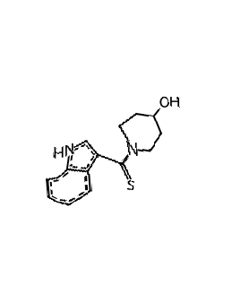 OC1CCN(C(=S)c2c[nH]c3ccccc23)CC1